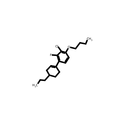 CCCCOc1ccc(C2=CCC(CCC)CC2)c(F)c1Cl